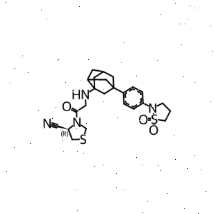 N#C[C@@H]1CSCN1C(=O)CNC12CC3CC1CC(c1ccc(N4CCCS4(=O)=O)cc1)(C3)C2